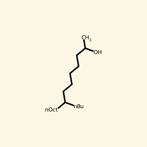 CCCCCCCCC(CCCC)CCCCCC(C)O